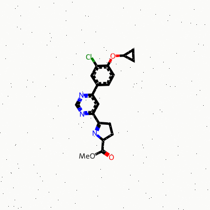 COC(=O)C1CCC(c2cc(-c3ccc(OC4CC4)c(Cl)c3)ncn2)=N1